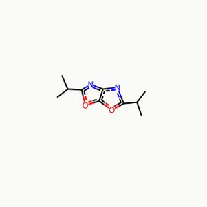 CC(C)c1nc2nc(C(C)C)oc2o1